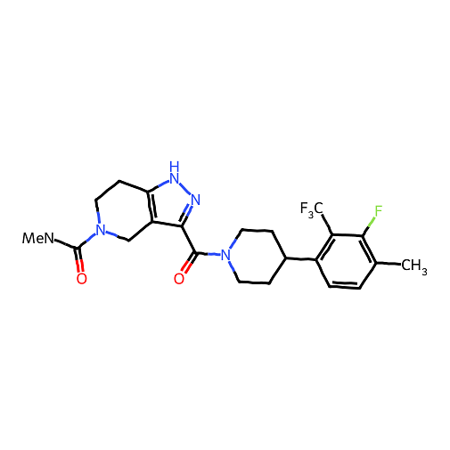 CNC(=O)N1CCc2[nH]nc(C(=O)N3CCC(c4ccc(C)c(F)c4C(F)(F)F)CC3)c2C1